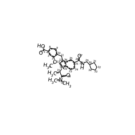 COc1cc(C(=O)O)ccc1Cc1cn(C(C)C(=O)N(C)C)c2ccc(C(=O)NCC3CCCC3)cc12